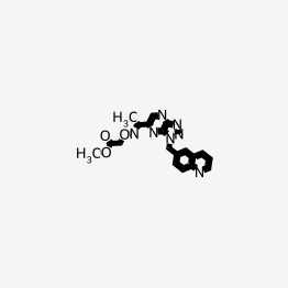 COC(=O)CON=C(C)c1cnc2nnn(Cc3ccc4ncccc4c3)c2n1